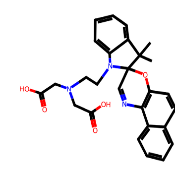 CC1(C)c2ccccc2N(CCN(CC(=O)O)CC(=O)O)C12C=Nc1c(ccc3ccccc13)O2